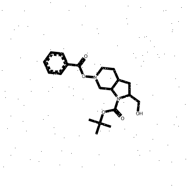 CC(C)(C)OC(=O)N1C(CO)CC2CCN(OC(=O)c3ccccc3)CC21